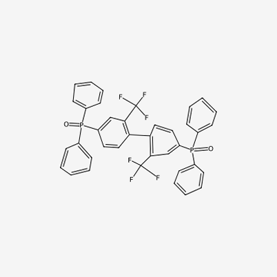 O=P(c1ccccc1)(c1ccccc1)c1ccc(-c2ccc(P(=O)(c3ccccc3)c3ccccc3)cc2C(F)(F)F)c(C(F)(F)F)c1